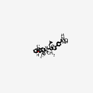 COc1c2c(cc3nc(-c4cc5ccc(-c6ccc(-c7c[nH]c(=O)[nH]7)cc6)nc5n4CC4CC4)n(C)c13)C(=O)N1C(C2)C2CCC1[C@@H]2N